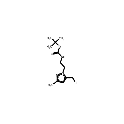 Cc1cc(CCl)n(CCNC(=O)OC(C)(C)C)n1